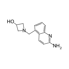 Nc1ccc2c(CN3CC(O)C3)cccc2n1